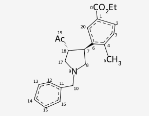 CCOC(=O)c1ccc(C)c([C@H]2CN(Cc3ccccc3)C[C@@H]2C(C)=O)c1